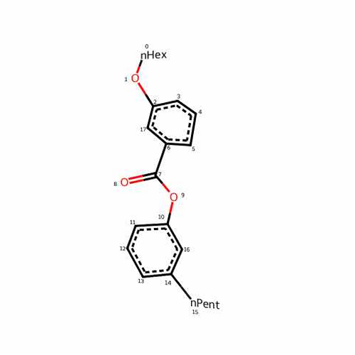 CCCCCCOc1cccc(C(=O)Oc2cccc(CCCCC)c2)c1